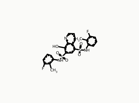 Cc1c(F)cccc1NS(=O)(=O)c1cc(S(=O)(=O)Nc2cccc(F)c2C)c2cccnc2c1O